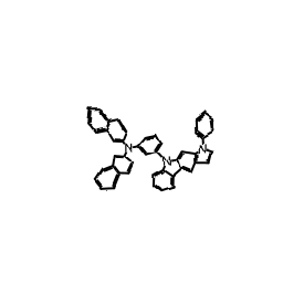 c1ccc(-n2ccc3cc4c5ccccc5n(-c5cccc(N(c6ccc7ccccc7c6)c6ccc7ccccc7c6)c5)c4cc32)cc1